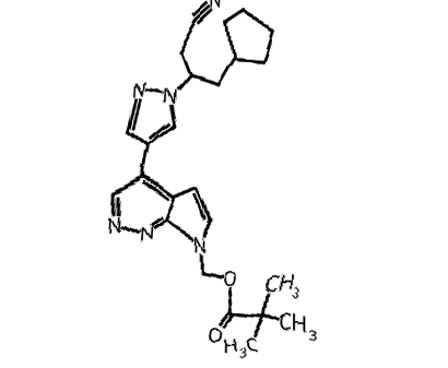 CC(C)(C)C(=O)OCn1ccc2c(-c3cnn(C(CC#N)CC4CCCC4)c3)cnnc21